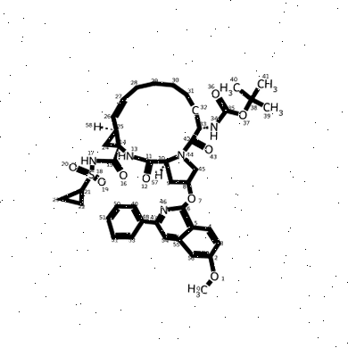 COc1ccc2c(OC3C[C@H]4C(=O)N[C@]5(C(=O)NS(=O)(=O)C6CC6)C[C@H]5/C=C\CCCCC[C@H](NC(=O)OC(C)(C)C)C(=O)N4C3)nc(-c3ccccc3)cc2c1